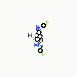 C[C@]12Cc3cnn(-c4ccc(F)cc4)c3C=C1CC[C@H]1C2=CC[C@@H](C(F)(F)F)[C@@H]1CNCc1cccc(F)c1